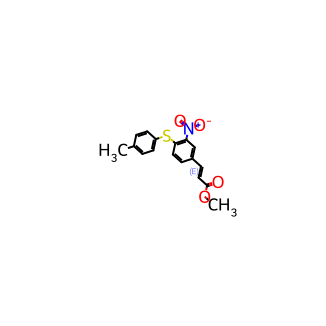 COC(=O)/C=C/c1ccc(Sc2ccc(C)cc2)c([N+](=O)[O-])c1